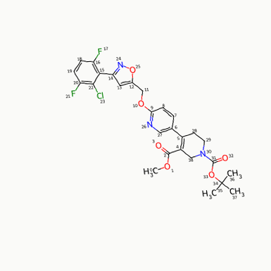 COC(=O)C1=C(c2ccc(OCc3cc(-c4c(F)ccc(F)c4Cl)no3)nc2)CCN(C(=O)OC(C)(C)C)C1